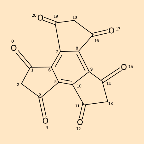 O=C1CC(=O)c2c1c1c(c3c2C(=O)CC3=O)C(=O)CC1=O